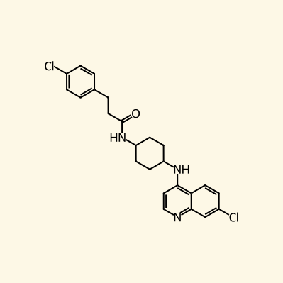 O=C(CCc1ccc(Cl)cc1)NC1CCC(Nc2ccnc3cc(Cl)ccc23)CC1